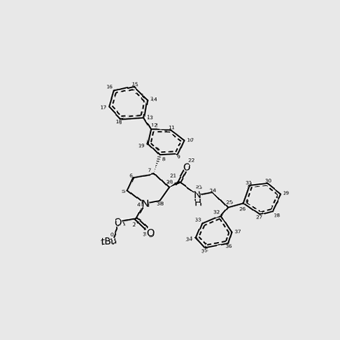 CC(C)(C)OC(=O)N1CC[C@H](c2cccc(-c3ccccc3)c2)[C@@H](C(=O)NCC(c2ccccc2)c2ccccc2)C1